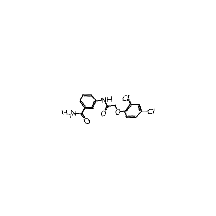 NC(=O)c1cccc(NC(=O)COc2ccc(Cl)cc2Cl)c1